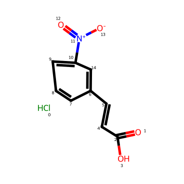 Cl.O=C(O)C=Cc1cccc([N+](=O)[O-])c1